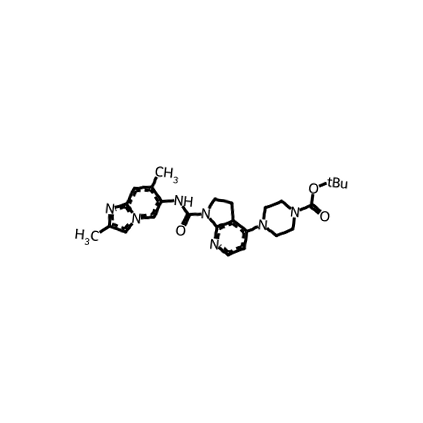 Cc1cn2cc(NC(=O)N3CCc4c(N5CCN(C(=O)OC(C)(C)C)CC5)ccnc43)c(C)cc2n1